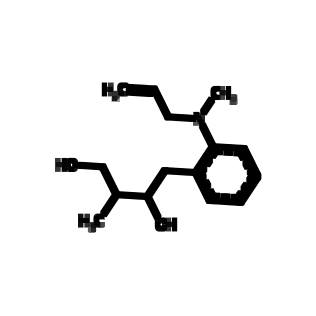 C=CCN(C)c1ccccc1CC(O)C(C)CO